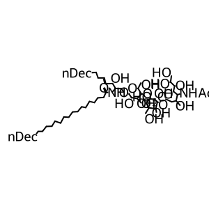 CCCCCCCCCCCC/C=C/C(O)C(COC1OC(CO)C(OC2OC(CO)C(O)C(OC3(C(=O)O)CC(O)C(NC(C)=O)C(C(O)C(O)CO)O3)C2O)C(O)C1O)NC(=O)CCCCCCCCCCCCCCCCCCCCCCCCCC